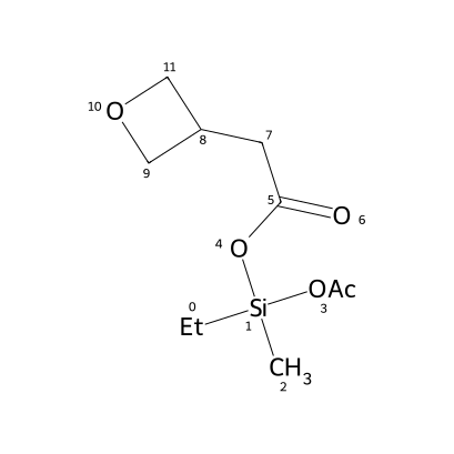 CC[Si](C)(OC(C)=O)OC(=O)CC1COC1